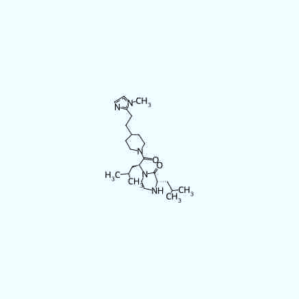 CC(C)C[C@@H]1NCCN([C@@H](CC(C)C)C(=O)N2CCC(CCc3nccn3C)CC2)C1=O